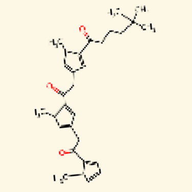 CC1C=C(CC(=O)C2=CC(CC(=O)C3=CC=CC3C)=CC2C)C=C1C(=O)CCCC(C)(C)C